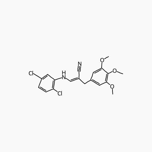 COc1cc(CC(C#N)=CNc2cc(Cl)ccc2Cl)cc(OC)c1OC